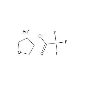 C1CCOC1.O=C([O-])C(F)(F)F.[Ag+]